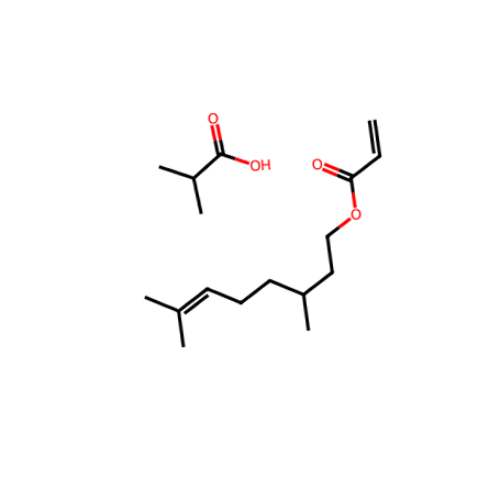 C=CC(=O)OCCC(C)CCC=C(C)C.CC(C)C(=O)O